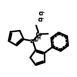 [CH3][GeH]([CH3])[Zr+2]([C]1=CC=CC1)[C]1=C(c2ccccc2)C=CC1.[Cl-].[Cl-]